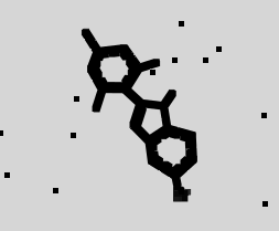 Cc1cc(C)c(C2=Cc3cc(Br)ccc3C2C)c(C)c1